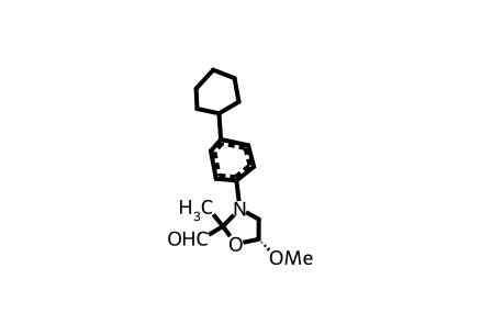 CO[C@H]1CN(c2ccc(C3CCCCC3)cc2)C(C)(C=O)O1